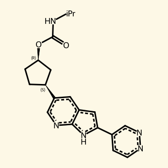 CC(C)NC(=O)O[C@@H]1CC[C@H](c2cnc3[nH]c(-c4ccnnc4)cc3c2)C1